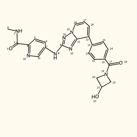 CNC(=O)c1ccc(Nc2nc3c(-c4ccc(C(=O)N5CC(O)C5)cc4)cccn3n2)cn1